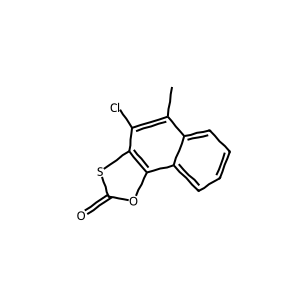 Cc1c(Cl)c2sc(=O)oc2c2ccccc12